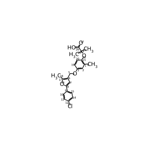 Cc1cc(OCc2cc(-c3ccc(Cl)cc3)oc2C)ccc1OC(C)(C)C(=O)O